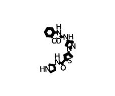 O=C(Nc1cnn(-c2csc(C(=O)N[C@@H]3CCNC3)c2)c1)Nc1ccccc1Cl